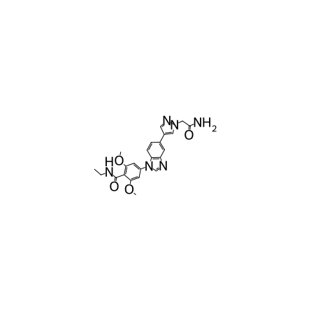 CCNC(=O)c1c(OC)cc(-n2cnc3cc(-c4cnn(CC(N)=O)c4)ccc32)cc1OC